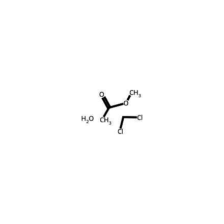 COC(C)=O.ClCCl.O